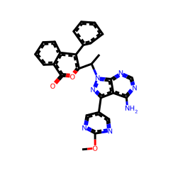 COc1ncc(-c2nn(C(C)c3oc(=O)c4ccccc4c3-c3ccccc3)c3ncnc(N)c23)cn1